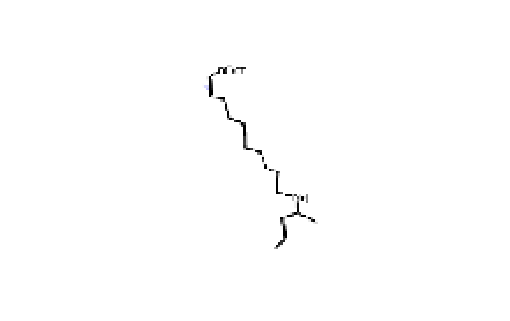 CC=CC(C)NCCCCCCCC/C=C\CCCCCCCC